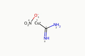 N=[C](N)[Cu+].O=[N+]([O-])[O-]